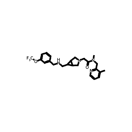 Cc1cccnc1CN(C)C(=O)CN1CC2C(CNCc3cccc(OC(F)(F)F)c3)C2C1